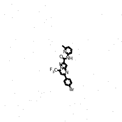 Cc1cccc(NC(=O)c2cc3nc(-c4ccc(Br)cc4)cc(C(F)(F)F)n3n2)n1